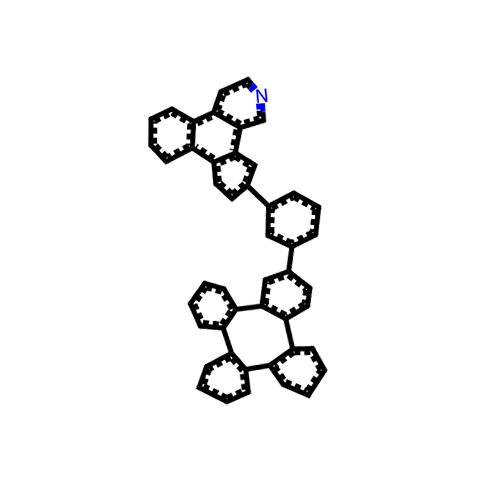 c1cc(-c2ccc3c(c2)-c2ccccc2-c2ccccc2-c2ccccc2-3)cc(-c2ccc3c4ccccc4c4ccncc4c3c2)c1